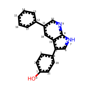 Oc1ccc(-c2c[nH]c3ncc(-c4ccccc4)cc23)cc1